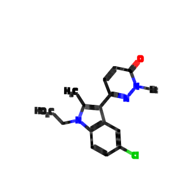 CCn1nc(-c2c(C)n(CC(=O)O)c3ccc(Cl)cc23)ccc1=O